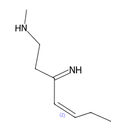 CC/C=C\C(=N)CCNC